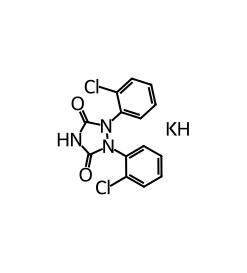 O=c1[nH]c(=O)n(-c2ccccc2Cl)n1-c1ccccc1Cl.[KH]